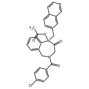 O=C(c1ccc(Cl)cc1)N1CC(=O)[N+](Cc2ccc3ccncc3c2)(OC(=O)C(F)(F)F)c2ccccc2C1